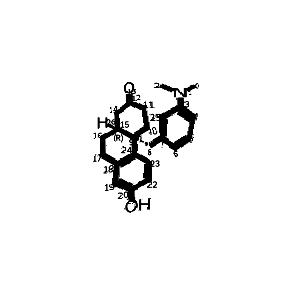 CN(C)c1cccc(C[C@@]23CCC(=O)C[C@H]2CCc2cc(O)ccc23)c1